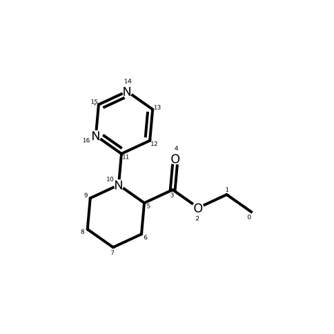 CCOC(=O)C1CCCCN1c1ccn[c]n1